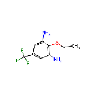 CCOc1c(N)cc(C(F)(F)F)cc1N